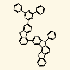 c1ccc(-c2nc(-c3ccccc3)nc(-c3ccc4c(c3)oc3cccc(-c5ccc6c(c5)c5c7sc8ccccc8c7ccc5n6-c5ccccc5)c34)n2)cc1